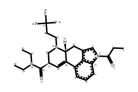 CCC(=O)n1cc2c3c(cccc31)C1=C[C@@H](C(=O)N(CC)CC)CN(CCC(F)(F)F)[C@@H]1C2